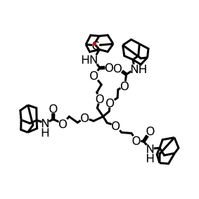 O=C(NC12CC3CC(CC(C3)C1)C2)OCCOCC(COCCOC(=O)NC12CC3CC(CC(C3)C1)C2)(COCCOC(=O)NC12CC3CC(CC(C3)C1)C2)COCCOC(=O)NC12CC3CC(CC(C3)C1)C2